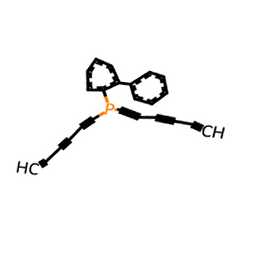 C#CC#CC#CP(C#CC#CC#C)c1ccccc1-c1ccccc1